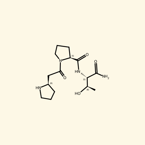 C[C@@H](O)[C@H](NC(=O)[C@@H]1CCCN1C(=O)C[C@H]1CCCN1)C(N)=O